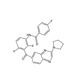 O=C(Nc1ccc(F)c(C(=O)c2ccc3ncc(N4CCCC4)nc3c2)c1F)c1ccc(F)cc1